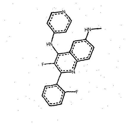 CNc1ccc2nc(-c3ccccc3F)c(F)c(Nc3ccncc3)c2c1